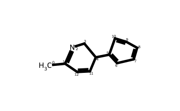 CC1=NCC(c2ccccc2)C=C1